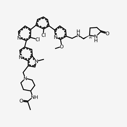 COc1nc(-c2cccc(-c3ccnc(-c4cnc5c(CN6CCC(NC(C)=O)CC6)cn(C)c5c4)c3Cl)c2Cl)ccc1CNC[C@H]1CCC(=O)N1